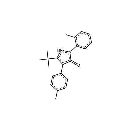 Cc1ccc(-c2c(C(C)(C)C)[nH]n(-c3ccccc3C)c2=O)cc1